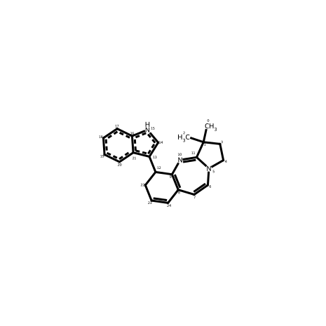 CC1(C)CCN2C=CC3=C(N=C21)C(c1c[nH]c2ccccc12)CC=C3